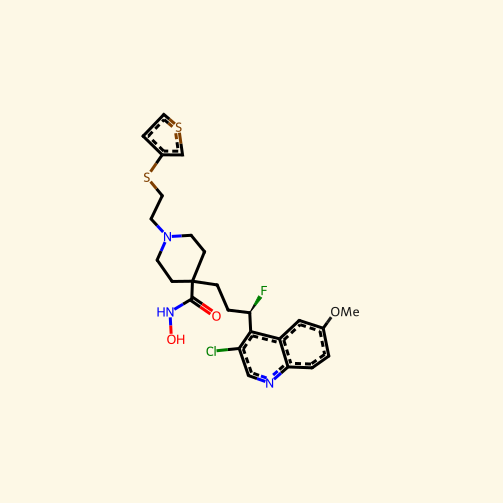 COc1ccc2ncc(Cl)c([C@H](F)CCC3(C(=O)NO)CCN(CCSc4ccsc4)CC3)c2c1